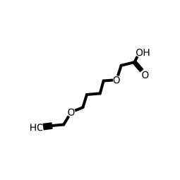 C#CCOCCCCOCC(=O)O